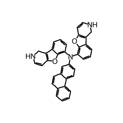 C1=Cc2oc3c(N(c4ccc5c(ccc6ccccc65)c4)c4cccc5c6c(oc45)C=CNC6)cccc3c2CN1